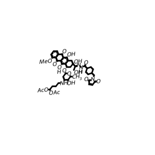 COc1cccc2c1C(=O)c1c(O)c3c(c(O)c1C2=O)C[C@@](O)(/C(CO)=N/NC(=O)C1CCC(CN2C(=O)C=CC2=O)CC1)C[C@@H]3OC1CC(NCCCC(OC(C)=O)OC(C)=O)C(O)C(C)O1